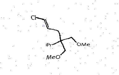 COCC(C/C=C/Cl)(COC)C(C)C